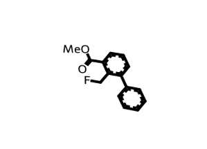 COC(=O)c1cccc(-c2ccccc2)c1CF